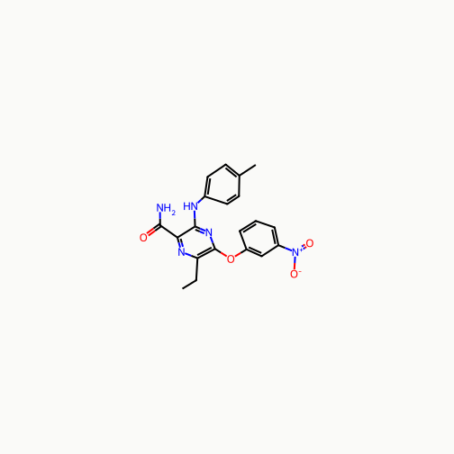 CCc1nc(C(N)=O)c(Nc2ccc(C)cc2)nc1Oc1cccc([N+](=O)[O-])c1